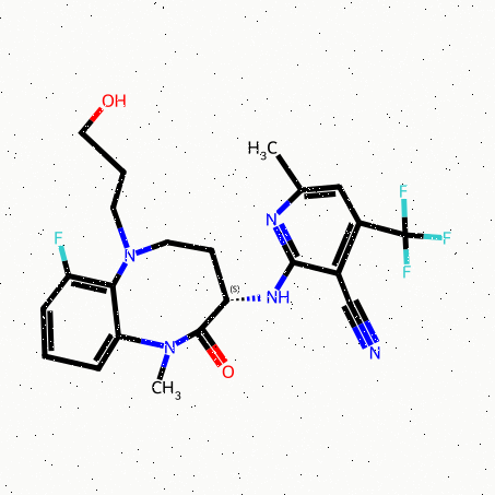 Cc1cc(C(F)(F)F)c(C#N)c(N[C@H]2CCN(CCCO)c3c(F)cccc3N(C)C2=O)n1